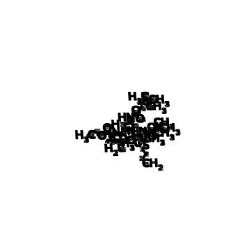 C=CCCSC(C)(C)[C@H](NC(=O)OC(C)(C)C)C(=O)N1C[C@H](NC(=O)OCC[Si](C)(C)C)C[C@H]1C(=O)N[C@]1(C(=O)OCC)C[C@H]1C=C